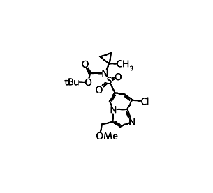 COCc1cnc2c(Cl)cc(S(=O)(=O)N(C(=O)OC(C)(C)C)C3(C)CC3)cn12